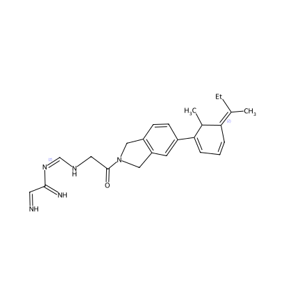 CC/C(C)=C1/C=CC=C(c2ccc3c(c2)CN(C(=O)CN/C=N\C(=N)C=N)C3)C1C